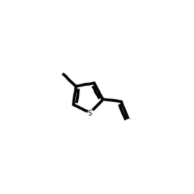 [CH]=Cc1cc(C)cs1